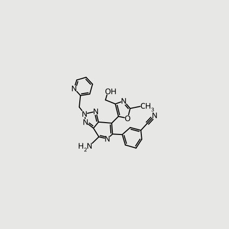 Cc1nc(CO)c(-c2c(-c3cccc(C#N)c3)nc(N)c3nn(Cc4ccccn4)nc23)o1